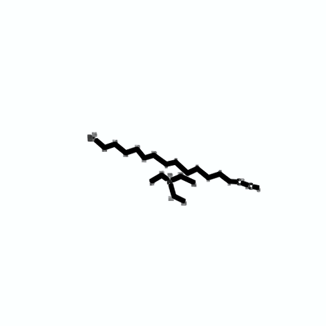 CCCCCCCCCCCCCCCCBr.CCN(CC)CC